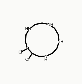 ClC1CNCCNCCNCCNCCN1Cl